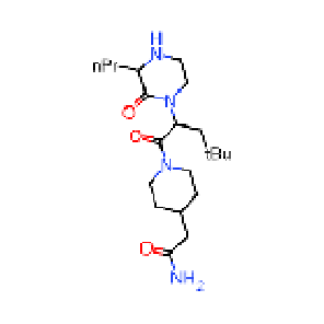 CCCC1NCCN(C(CC(C)(C)C)C(=O)N2CCC(CC(N)=O)CC2)C1=O